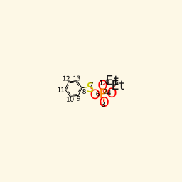 CCOP(=O)(OCC)OSc1ccccc1